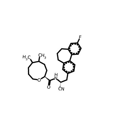 CC1CCCO[C@H](C(=O)N[C@@H](C#N)Cc2ccc3c(c2)CCCc2cc(F)ccc2-3)CCC1C